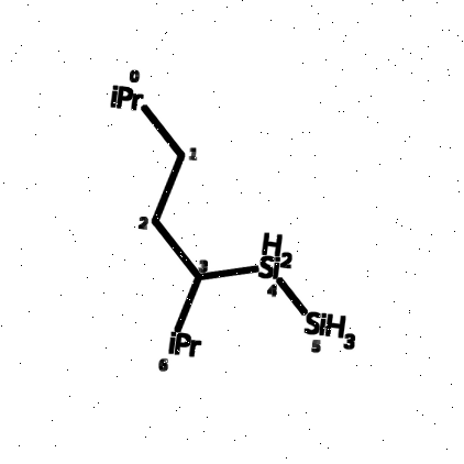 CC(C)CCC([SiH2][SiH3])C(C)C